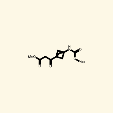 COC(=O)CC(=O)C12CC(NC(=O)OC(C)(C)C)(C1)C2